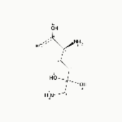 NCC(O)(O)CC[C@H](N)C(=O)O